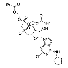 CC(C)C(=O)OCOP(=O)(CS(=O)(=O)C[C@H]1O[C@@H](n2ccc3c(NC4CCCC4)nc(Cl)nc32)[C@H](O)[C@@H]1O)OCOC(=O)C(C)C